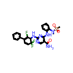 CN(c1ccccc1Nc1nc(NC2C(F)=C(c3ccccc3)C=CC2(F)F)ncc1C(N)=O)S(C)(=O)=O